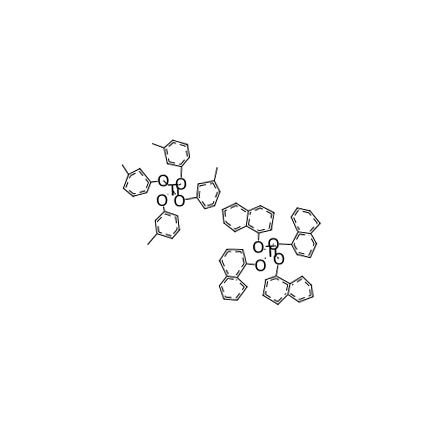 Cc1cccc([O][Ti]([O]c2cccc(C)c2)([O]c2cccc(C)c2)[O]c2cccc(C)c2)c1.c1ccc2c([O][Ti]([O]c3cccc4ccccc34)([O]c3cccc4ccccc34)[O]c3cccc4ccccc34)cccc2c1